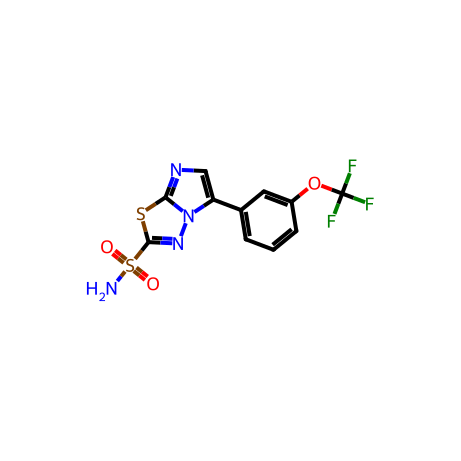 NS(=O)(=O)c1nn2c(-c3cccc(OC(F)(F)F)c3)cnc2s1